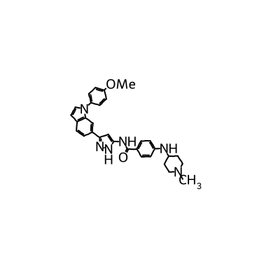 COc1ccc(-n2ccc3ccc(-c4cc(NC(=O)c5ccc(NC6CCN(C)CC6)cc5)[nH]n4)cc32)cc1